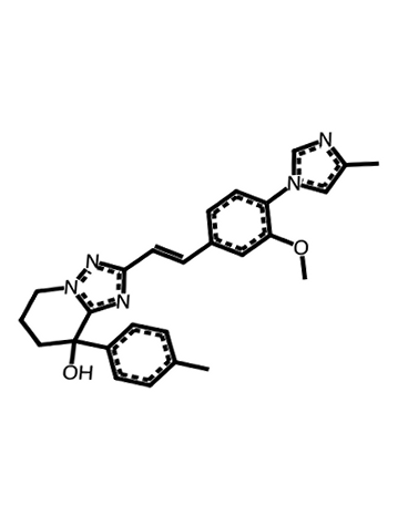 COc1cc(/C=C/c2nc3n(n2)CCCC3(O)c2ccc(C)cc2)ccc1-n1cnc(C)c1